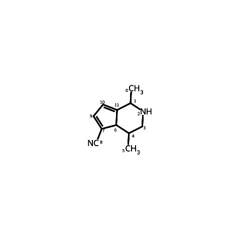 CC1NCC(C)C2C(C#N)=CC=C12